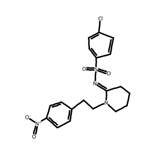 O=[N+]([O-])c1ccc(CCN2CCCC/C2=N\S(=O)(=O)c2ccc(Cl)cc2)cc1